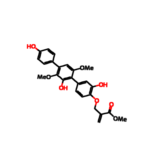 C=C(COc1ccc(-c2c(OC)cc(-c3ccc(O)cc3)c(OC)c2O)cc1O)C(=O)OC